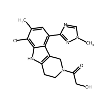 Cc1cc(-c2ncn(C)n2)c2c3c([nH]c2c1Cl)CCN(C(=O)CO)C3